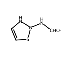 O=[C]NN1NC=CS1